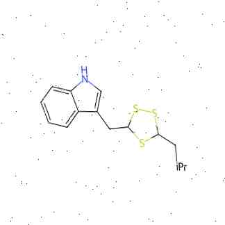 CC(C)CC1SSC(Cc2c[nH]c3ccccc23)S1